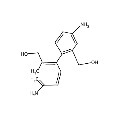 C=C(N)/C=C\C(=C(/C)CO)c1ccc(N)cc1CO